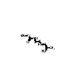 CC(C)(C)OC(=O)NCCNC[C@H](O)C(F)(F)F